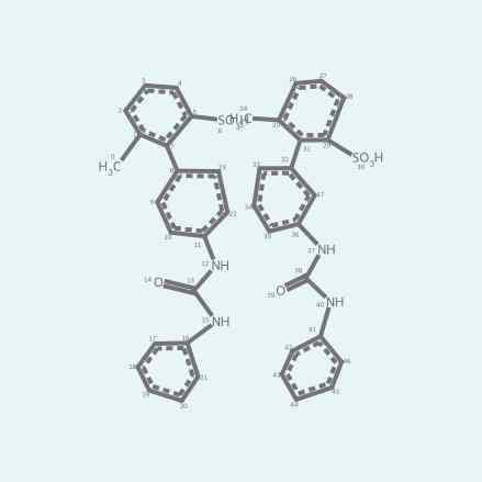 Cc1cccc(S(=O)(=O)O)c1-c1ccc(NC(=O)Nc2ccccc2)cc1.Cc1cccc(S(=O)(=O)O)c1-c1cccc(NC(=O)Nc2ccccc2)c1